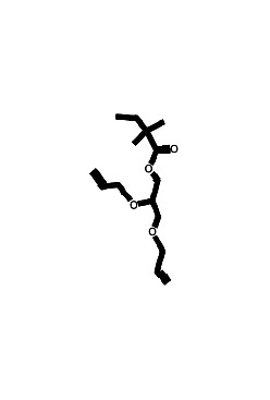 C=CCOCC(COC(=O)C(C)(C)CC)OCC=C